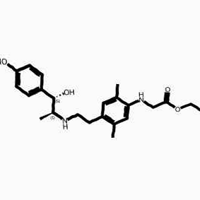 CCOC(=O)CNc1cc(C)c(CCN[C@@H](C)[C@@H](O)c2ccc(O)cc2)cc1C